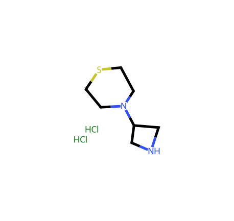 C1CN(C2CNC2)CCS1.Cl.Cl